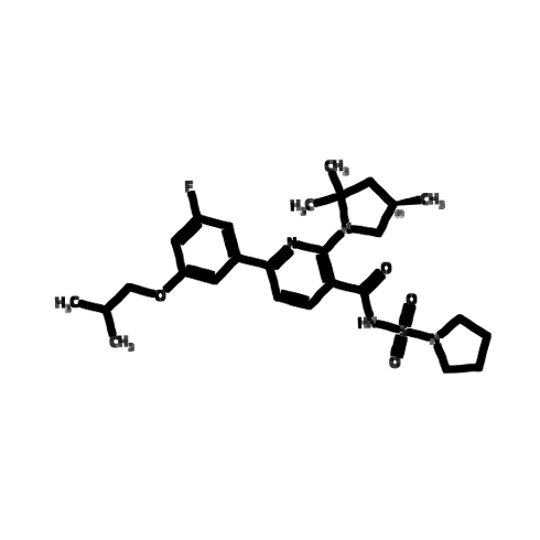 CC(C)COc1cc(F)cc(-c2ccc(C(=O)NS(=O)(=O)N3CCCC3)c(N3C[C@H](C)CC3(C)C)n2)c1